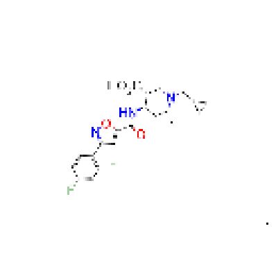 O=C(N[C@@H]1CCN(CC2CC2)C[C@H]1C(=O)O)c1cc(-c2ccc(F)cc2F)no1